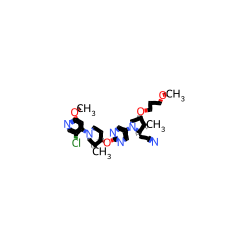 COCCCO[C@H]1CN(c2cnc(O[C@@H]3CCN(c4cc(OC)ncc4Cl)C[C@@H]3C)nc2)[C@@H](CC#N)[C@@H]1C